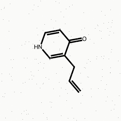 C=CCc1[c][nH]c[c]c1=O